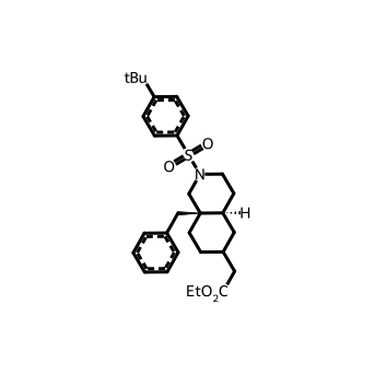 CCOC(=O)CC1CC[C@]2(Cc3ccccc3)CN(S(=O)(=O)c3ccc(C(C)(C)C)cc3)CC[C@H]2C1